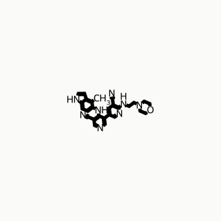 Cc1c(Nc2c(C#N)cncc2-c2cnc(NCCN3CCOCC3)c(C#N)c2)ccc2[nH]ccc12